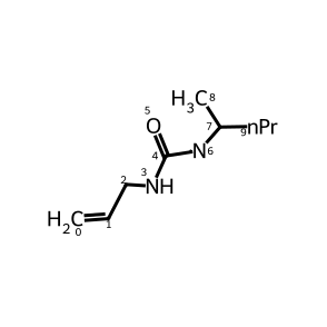 C=CCNC(=O)[N]C(C)CCC